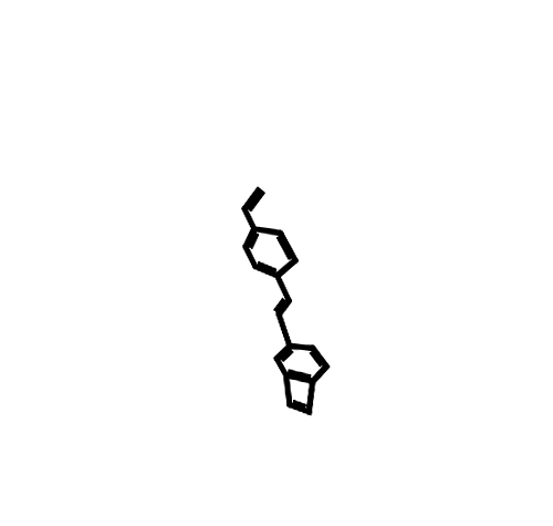 C=Cc1ccc(C=Cc2ccc3c(c2)C=C3)cc1